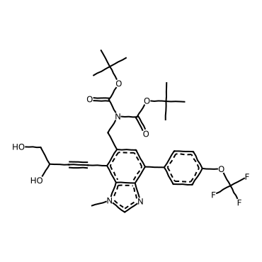 Cn1cnc2c(-c3ccc(OC(F)(F)F)cc3)cc(CN(C(=O)OC(C)(C)C)C(=O)OC(C)(C)C)c(C#CC(O)CO)c21